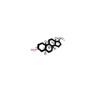 C[C@]12CC[C@@H](O)C[C@@H]1CC[C@@H]1[C@@H]2CC[C@]2(C)[C@@H]([N+](=O)[O-])CC[C@@H]12